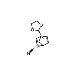 N#C[C@@H]1C[C@]2(C3OCCO3)C=CC1O2